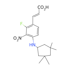 CC1(C)CC(Nc2ccc(C=CC(=O)O)c(F)c2[N+](=O)[O-])CC(C)(C)C1